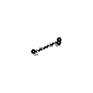 Oc1ccccc1CNCCCNCCCCNCCCNCc1c(O)ccc2ccccc12